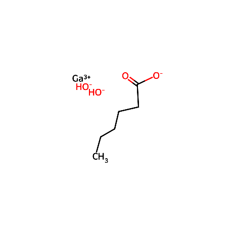 CCCCCC(=O)[O-].[Ga+3].[OH-].[OH-]